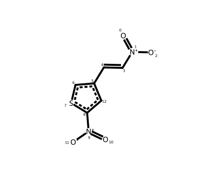 O=[N+]([O-])C=Cc1csc([N+](=O)[O-])c1